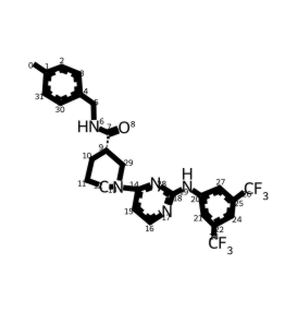 Cc1ccc(CNC(=O)[C@H]2CCCN(c3ccnc(Nc4cc(C(F)(F)F)cc(C(F)(F)F)c4)n3)C2)cc1